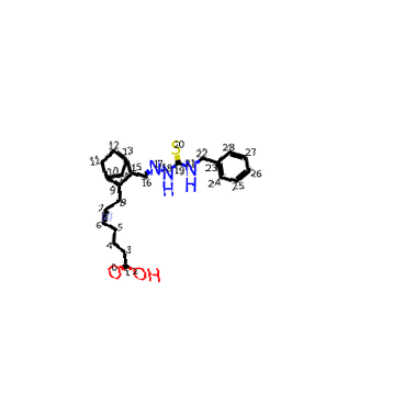 O=C(O)CCC/C=C\CC1C2CCC(C2)C1C=NNC(=S)NCc1ccccc1